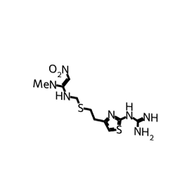 CNC(=C[N+](=O)[O-])NCSCCc1csc(NC(=N)N)n1